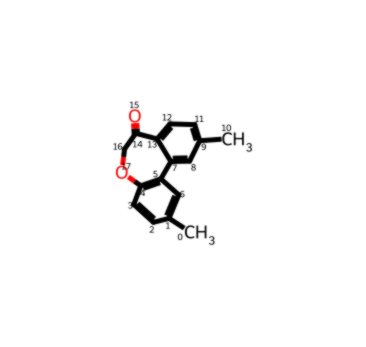 Cc1ccc2c(c1)-c1cc(C)ccc1C(=O)CO2